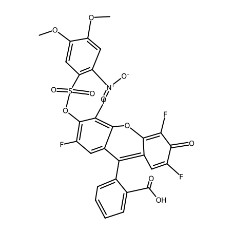 COc1cc([N+](=O)[O-])c(S(=O)(=O)Oc2c(F)cc3c(-c4ccccc4C(=O)O)c4cc(F)c(=O)c(F)c-4oc3c2F)cc1OC